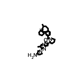 Cc1cn2nc([C@@H]3CCCCN3C(=O)c3ccc4c(c3)C3(CCCCC3)[C@H](C)C(C)CC4)cc2nc1N1CC[C@H](N)C1